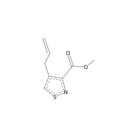 C=CCc1csnc1C(=O)OC